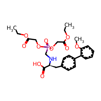 CCOC(=O)COP(=O)(CN[C@@H](Cc1ccc(-c2ccccc2OC)cc1)C(=O)O)OCC(=O)OCC